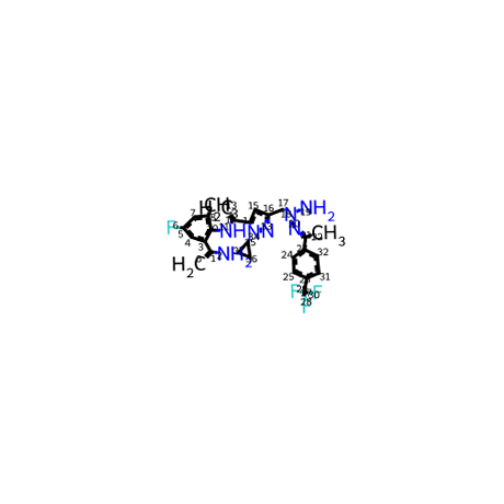 C=C(N)c1cc(F)cc(C)c1NC(=C)c1cc(CN(N)/N=C(\C)c2ccc(C(F)(F)F)cc2)nn1C1CC1